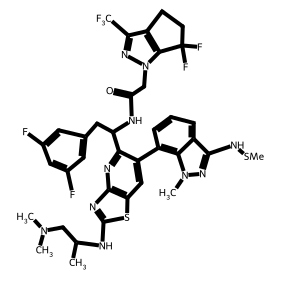 CSNc1nn(C)c2c(-c3cc4sc(NC(C)CN(C)C)nc4nc3C(Cc3cc(F)cc(F)c3)NC(=O)Cn3nc(C(F)(F)F)c4c3C(F)(F)CC4)cccc12